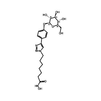 O=C(CCCCCCn1cc(-c2ccc(O[C@@H]3O[C@H](CO)[C@@H](O)[C@H](O)[C@H]3O)cc2)nn1)NO